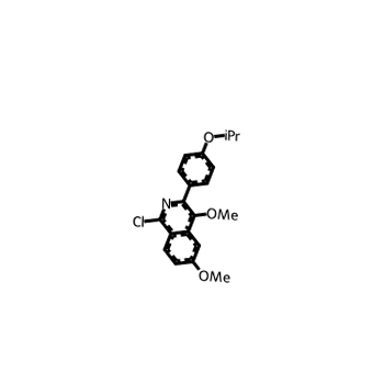 COc1ccc2c(Cl)nc(-c3ccc(OC(C)C)cc3)c(OC)c2c1